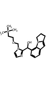 C[Si](C)(C)CCOCn1ccnc1C(O)c1cccc2cc3n(c12)CCC3